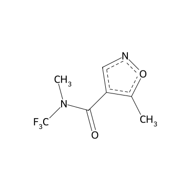 Cc1oncc1C(=O)N(C)C(F)(F)F